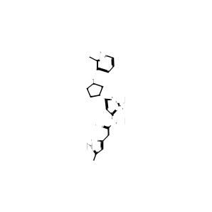 Cc1cc(CC(=O)Nc2cc([C@H]3CC[C@@H](Oc4cccnc4C)C3)[nH]n2)on1